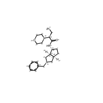 CC(C)C[C@@H](C(=O)N[C@@H]1CC[C@H]2CN(Cc3ccccc3)C[C@H]21)N1CCOCC1